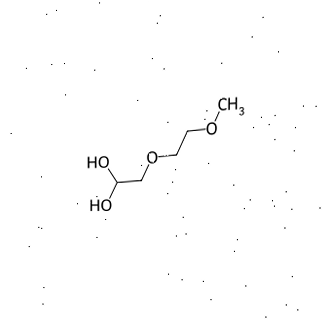 COCCOCC(O)O